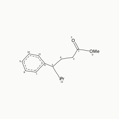 COC(=O)CCC(c1ccccc1)C(C)C